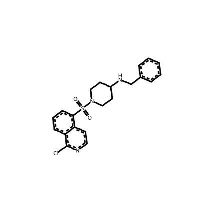 O=S(=O)(c1cccc2c(Cl)nccc12)N1CCC(NCc2ccccc2)CC1